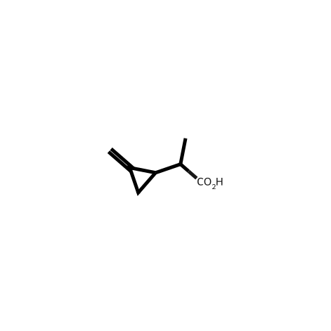 C=C1CC1C(C)C(=O)O